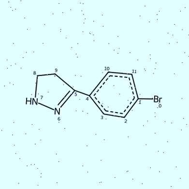 Brc1ccc(C2=NNC[CH]2)cc1